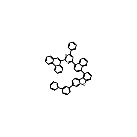 c1ccc(-c2cccc(-c3ccc4c(c3)oc3cccc(-c5ccc(-c6nc(-c7ccccc7)nc(-c7cc8ccccc8c8ccccc78)n6)c6ccccc56)c34)c2)cc1